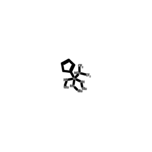 CC(C)(C)[NH][Zr]([NH]C(C)(C)C)([NH]C(C)(C)C)([C]1=CC=CC1)[GeH]([C](F)(F)F)[C](F)(F)F